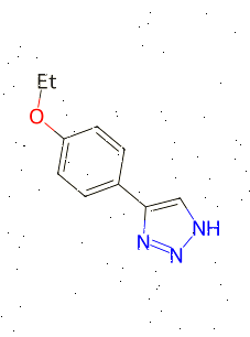 CCOc1ccc(-c2c[nH]nn2)cc1